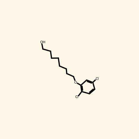 OCCCCCCCCOc1cc(Cl)ccc1Cl